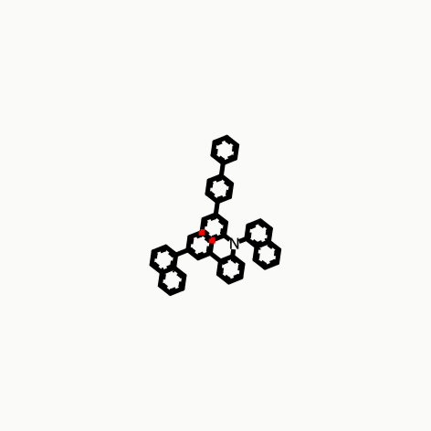 c1ccc(-c2ccc(-c3cccc(N(c4ccccc4-c4cccc(-c5cccc6ccccc56)c4)c4cccc5ccccc45)c3)cc2)cc1